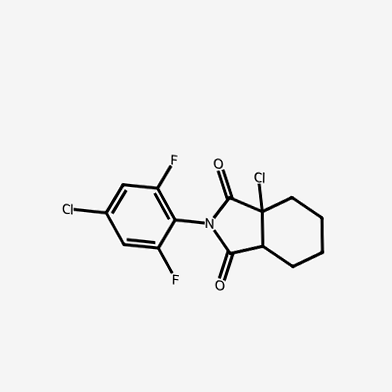 O=C1C2CCCCC2(Cl)C(=O)N1c1c(F)cc(Cl)cc1F